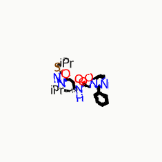 CC(C)C[C@H](NC(=O)Cn1c(-c2ccccc2)nccc1=O)C(=O)c1nnc(SC(C)C)o1